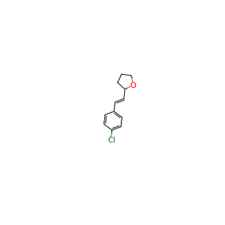 Clc1ccc(C=CC2CCCO2)cc1